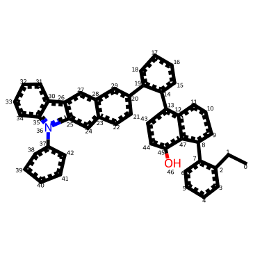 CCc1ccccc1-c1cccc2c(-c3ccccc3-c3ccc4cc5c(cc4c3)c3ccccc3n5-c3ccccc3)ccc(O)c12